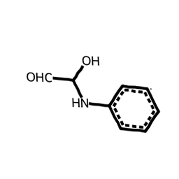 O=CC(O)Nc1c[c]ccc1